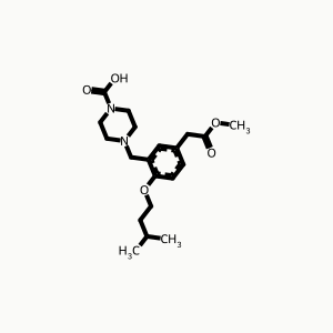 COC(=O)Cc1ccc(OCCC(C)C)c(CN2CCN(C(=O)O)CC2)c1